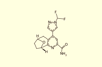 NC(=O)c1cc(-c2cnn(C(F)F)c2)c2c(n1)[C@@H]1CC[C@@H](C2)O1